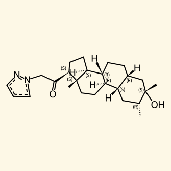 C[C@@H]1C[C@H]2[C@H](CC[C@@H]3[C@@H]2CC[C@]2(C)[C@@H](C(=O)Cn4cccn4)CC[C@@H]32)C[C@]1(C)O